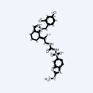 COc1nc2ccc(S(=O)(=O)NC(=O)NCC(F)=C3CCCc4cnn(Cc5ccc(Cl)cc5Cl)c43)cc2o1